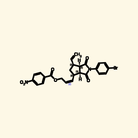 C=C[C@@H]1C[C@H](/C=C\COC(=O)c2ccc([N+](=O)[O-])cc2)[C@@H]2C(=O)N(c3ccc(Br)cc3)C(=O)[C@@H]21